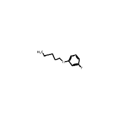 CCCCCOc1cccc(F)c1